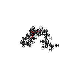 CSCC[C@H](NC(=O)CNC(=O)[C@@H]1CCCN1C(=O)[C@@H]1CCCN1C(=O)CNC(=O)[C@@H]1CCCN1C(=O)[C@@H]1CCCN1C(=O)CNC(=O)[C@@H]1CCCN1C(=O)[C@@H]1CCCN1C(=O)CNC(=O)[C@@H]1CCCN1C(=O)[C@@H]1CCCN1C(=O)CNC(=O)[C@@H]1CCCN1C(=O)[C@@H]1CCCN1C(=O)CNC(=O)[C@@H]1CCCN1C(=O)[C@@H]1CCCN1)C(=O)N1CCC[C@H]1C(=O)NCC(=O)O